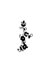 COc1cnc2c(-c3nc4cc(F)c(OC5CN(C(C)=O)CCC5OC(=O)Nc5cnc(C)nc5)cc4s3)cc(C)cc2n1